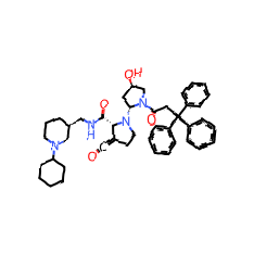 O=C=C1CCN([C@@H]2C[C@@H](O)CN2C(=O)CC(c2ccccc2)(c2ccccc2)c2ccccc2)[C@H]1C(=O)NC[C@@H]1CCCN(C2CCCCC2)C1